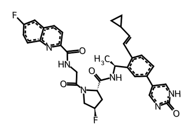 C[C@H](NC(=O)[C@@H]1C[C@@H](F)CN1C(=O)CNC(=O)c1ccc2cc(F)ccc2n1)c1cc(-c2cnc(=O)[nH]c2)ccc1/C=C/C1CC1